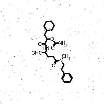 CN(CCc1ccccc1)C(=O)CCC(C=O)NC(=O)C(CC1CCCCC1)OC(N)=O